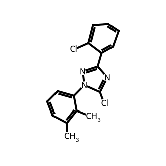 Cc1cccc(-n2nc(-c3ccccc3Cl)nc2Cl)c1C